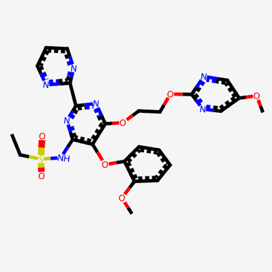 CCS(=O)(=O)Nc1nc(-c2ncccn2)nc(OCCOc2ncc(OC)cn2)c1Oc1ccccc1OC